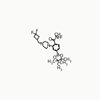 CNC(=O)c1ccc(B2OC(C)(C)C(C)(C)O2)cc1N1CCN(CC2CC(F)(F)C2)CC1